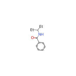 CCC(CC)NC(=O)c1cc[c]cc1